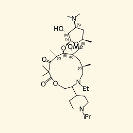 CCN1C[C@H](C)C[C@@](C)(OC)[C@H](O[C@@H]2O[C@H](C)C[C@H](N(C)C)[C@H]2O)[C@@H](C)C(=O)C(C)(C)C(=O)OCC1C1CCN(C(C)C)CC1